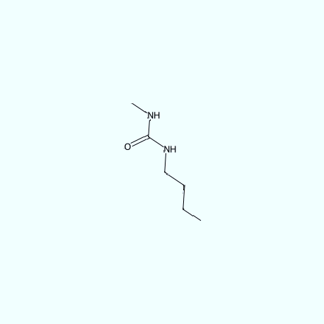 CCCCNC(=O)NC